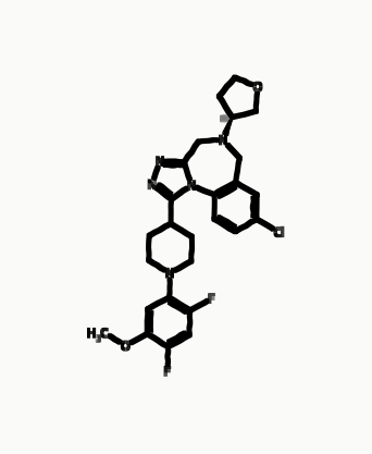 COc1cc(N2CCC(c3nnc4n3-c3ccc(Cl)cc3CN([C@H]3CCOC3)C4)CC2)c(F)cc1F